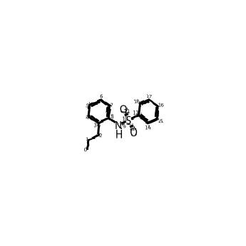 CCCc1c[c]ccc1NS(=O)(=O)c1ccccc1